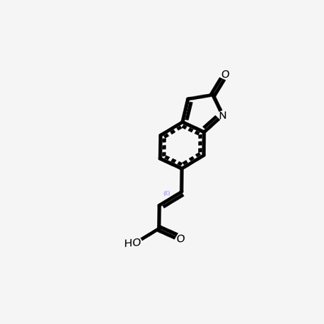 O=C(O)/C=C/c1ccc2c(c1)=NC(=O)C=2